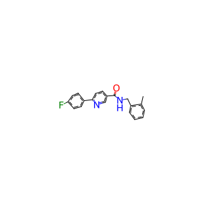 Cc1ccccc1CNC(=O)c1ccc(-c2ccc(F)cc2)nc1